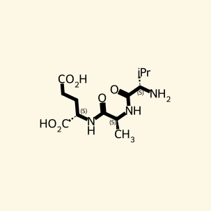 CC(C)[C@H](N)C(=O)N[C@@H](C)C(=O)N[C@@H](CCC(=O)O)C(=O)O